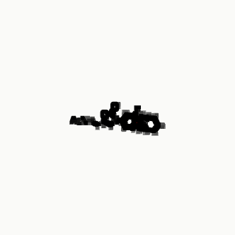 CC(=O)NC[C@H]1CN(c2ccc(N3C4CCCC3COC4)c(F)c2)C(=O)O1